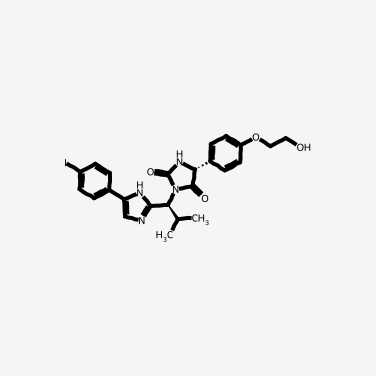 CC(C)[C@@H](c1ncc(-c2ccc(I)cc2)[nH]1)N1C(=O)N[C@H](c2ccc(OCCO)cc2)C1=O